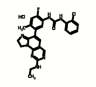 CCNc1ncc2c(n1)N1CCN=C1C(c1cc(NC(=O)Nc3ccccc3Cl)c(F)cc1C)=C2.Cl